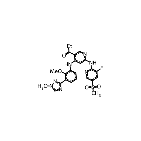 CCC(=O)c1cnc(Nc2ncc(S(C)(=O)=O)cc2F)cc1Nc1cccc(-c2ncn(C)n2)c1OC